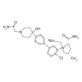 C[C@H]1C[C@@H](C(N)=O)[N+](CC#N)(c2cc(-c3ccc(C4(O)CCN(CC(N)=O)CC4)cc3)ccc2Cl)C1